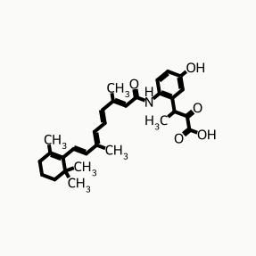 CC(C=CC1=C(C)CCCC1(C)C)=CC=CC(C)=CC(=O)Nc1ccc(O)cc1C(C)C(=O)C(=O)O